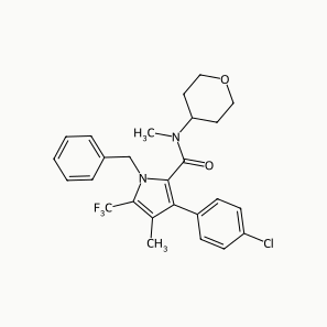 Cc1c(-c2ccc(Cl)cc2)c(C(=O)N(C)C2CCOCC2)n(Cc2ccccc2)c1C(F)(F)F